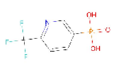 O=P(O)(O)c1ccc(C(F)(F)F)nc1